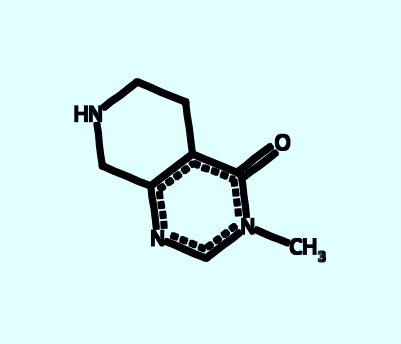 Cn1cnc2c(c1=O)CCNC2